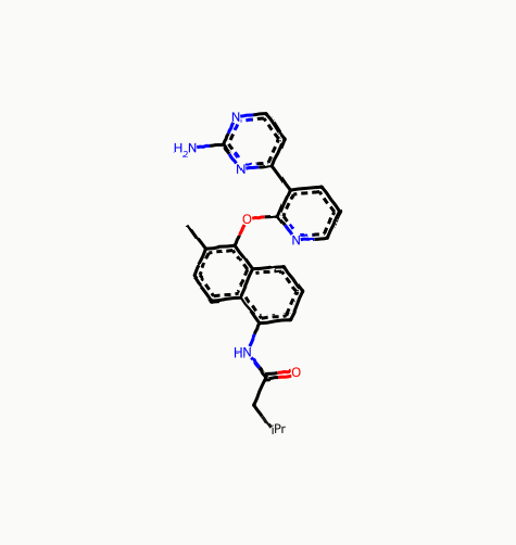 Cc1ccc2c(NC(=O)CC(C)C)cccc2c1Oc1ncccc1-c1ccnc(N)n1